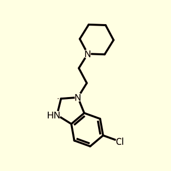 Clc1ccc2c(c1)N(CCN1CCCCC1)[CH]N2